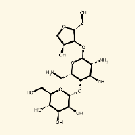 NC[C@@H]1O[C@@H](O[C@H]2[C@@H](O)[CH]O[C@@H]2CO)[C@H](N)[C@@H](O)[C@@H]1O[C@H]1O[C@H](CO)[C@@H](O)[C@H](O)[C@@H]1O